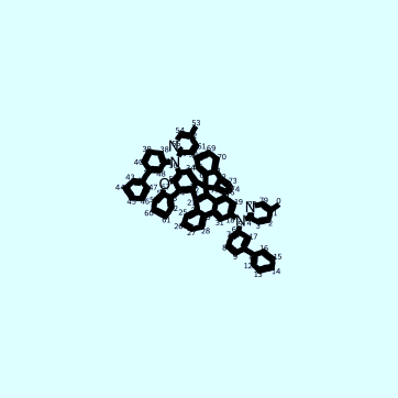 Cc1ccc(N(c2cccc(-c3ccccc3)c2)c2ccc3c4c(c5ccccc5c3c2)-c2c(cc(N(c3cccc(-c5ccccc5)c3)c3ccc(C)cn3)c3oc5ccccc5c23)C42c3ccccc3-c3ccccc32)nc1